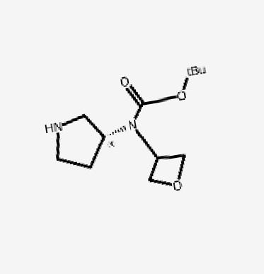 CC(C)(C)OC(=O)N(C1COC1)[C@@H]1CCNC1